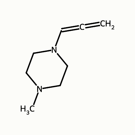 C=C=CN1CCN(C)CC1